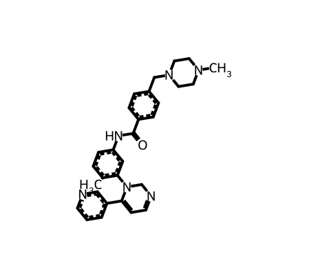 Cc1ccc(NC(=O)c2ccc(CN3CCN(C)CC3)cc2)cc1N1CN=CC=C1c1cccnc1